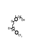 CCc1nc(-c2ccc(C(F)(F)F)cc2)sc1CCC(=O)c1ccc(OC(C)(C)CO)c(C)c1